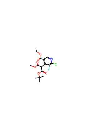 CCOC(=O)c1cnc(Cl)c(F)c1C(C(=O)OC)C(=O)OC(C)(C)C